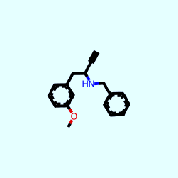 C#CC(Cc1cccc(OC)c1)NCc1ccccc1